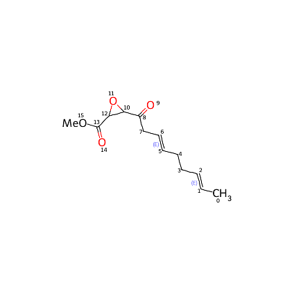 C/C=C/CC/C=C/CC(=O)C1OC1C(=O)OC